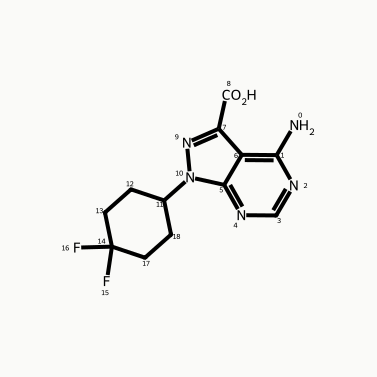 Nc1ncnc2c1c(C(=O)O)nn2C1CCC(F)(F)CC1